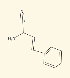 N#CC(N)C=Cc1ccccc1